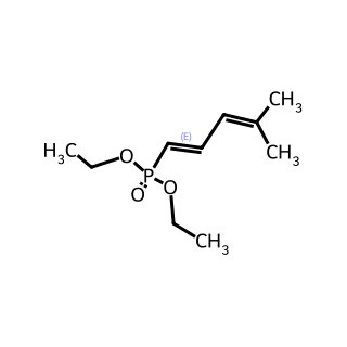 CCOP(=O)(/C=C/C=C(C)C)OCC